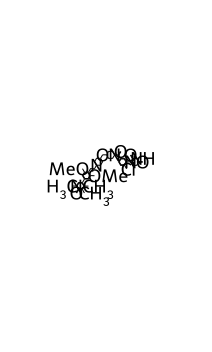 COc1cc(-c2cn(C)c(=O)c(C)c2C)cc(OC)c1CCN1CCC(OC2CCN(C(=O)c3ccc(Cl)c(N4CCC(=O)NC4=O)c3)CC2)CC1